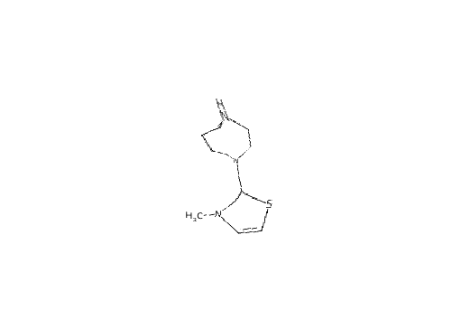 CN1C=CSC1N1CCNCC1